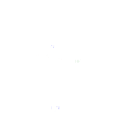 Cc1cccc(CNS(=O)(=O)c2cccc3c(N)cccc23)c1.Cl